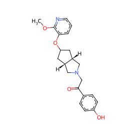 COc1ncccc1OC1C[C@@H]2CN(CC(=O)c3ccc(O)cc3)C[C@@H]2C1